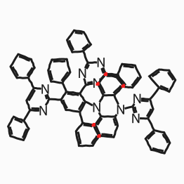 c1ccc(-c2cc(-c3ccccc3)nc(-c3cc(-c4ccccc4)c(N4c5ccccc5N(c5nc(-c6ccccc6)cc(-c6ccccc6)n5)c5ccccc54)c(-c4nc(-c5ccccc5)nc(-c5ccccc5)n4)c3-c3ccccc3)n2)cc1